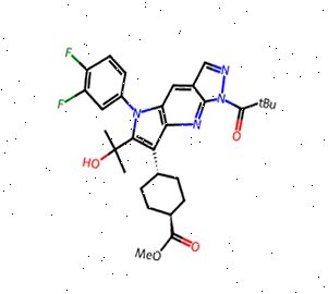 COC(=O)[C@H]1CC[C@H](c2c(C(C)(C)O)n(-c3ccc(F)c(F)c3)c3cc4cnn(C(=O)C(C)(C)C)c4nc32)CC1